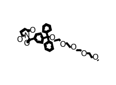 COCCOCCOCCOCCOC(c1ccccc1)(c1ccccc1)c1ccc(C(=O)N2C(=O)C=CC2=O)cc1